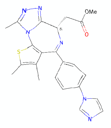 COC(=O)C[C@@H]1N=C(c2ccc(-n3ccnc3)cc2)c2c(sc(C)c2C)-n2c(C)nnc21